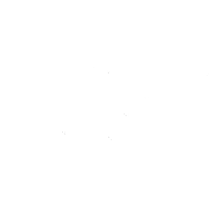 COc1ccc(Br)cc1CCc1c(Cl)cccc1CN1CCCCC1C(O)C1CNC(c2cccc(Cl)c2CCc2cc(Br)ccc2OC)=N1